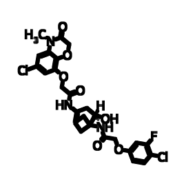 CN1C(=O)COc2c(OCC(=O)NC3=C4CC(NC(=O)COc5ccc(Cl)c(F)c5)(C4)[C@@H](O)C3)cc(Cl)cc21